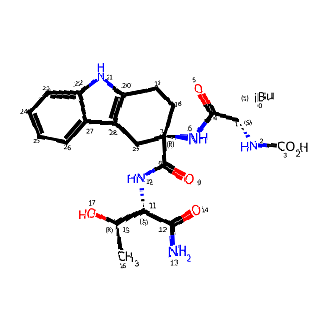 CC[C@H](C)[C@H](NC(=O)O)C(=O)N[C@]1(C(=O)N[C@H](C(N)=O)[C@@H](C)O)CCc2[nH]c3ccccc3c2C1